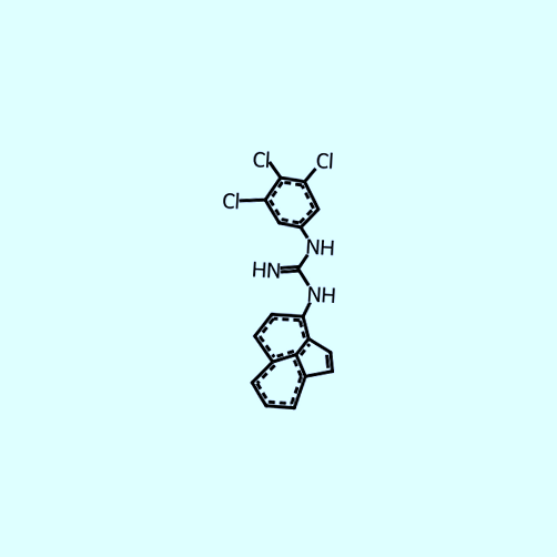 N=C(Nc1cc(Cl)c(Cl)c(Cl)c1)Nc1ccc2cccc3c2c1C=C3